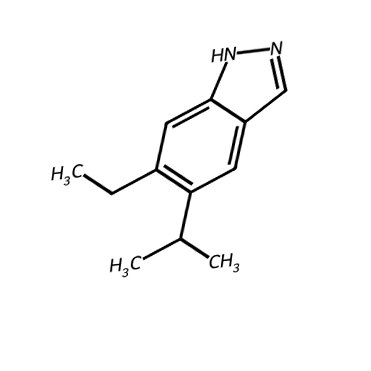 CCc1cc2[nH]ncc2cc1C(C)C